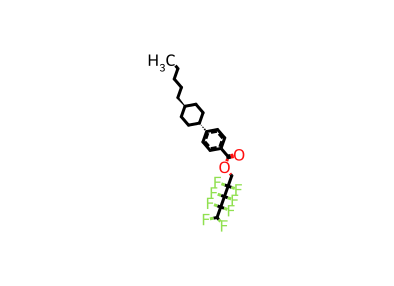 CCCCC[C@H]1CC[C@H](c2ccc(C(=O)OCC(F)(F)C(F)(F)C(F)(F)C(F)F)cc2)CC1